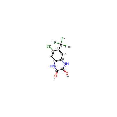 O=c1[nH]c2cc(Cl)c(C(F)(F)F)cc2[nH]c1=O